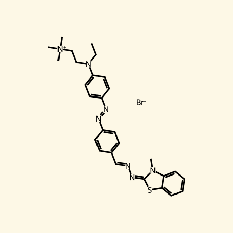 CCN(CC[N+](C)(C)C)c1ccc(N=Nc2ccc(C=NN=c3sc4ccccc4n3C)cc2)cc1.[Br-]